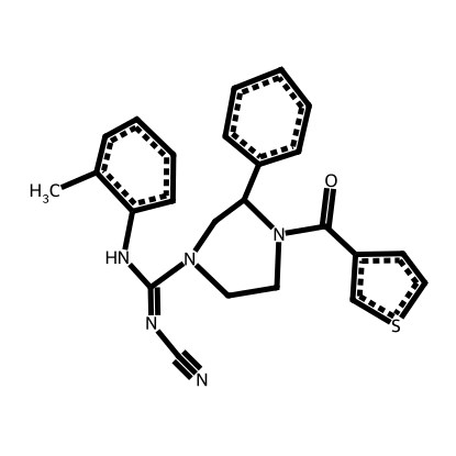 Cc1ccccc1N/C(=N/C#N)N1CCN(C(=O)c2ccsc2)C(c2ccccc2)C1